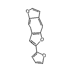 c1coc(-c2cc3cc4occc4cc3o2)c1